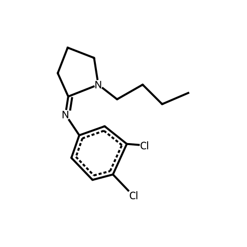 CCCCN1CCCC1=Nc1ccc(Cl)c(Cl)c1